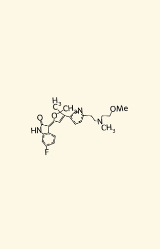 COCCN(C)CCc1ccc(C2=CC(=C3C(=O)Nc4cc(F)ccc43)OC2(C)C)cn1